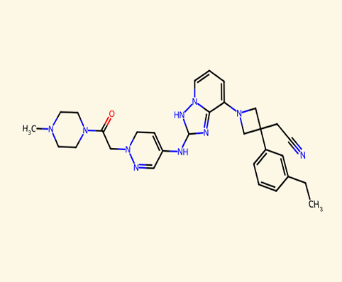 CCc1cccc(C2(CC#N)CN(C3=CC=CN4NC(NC5=CCN(CC(=O)N6CCN(C)CC6)N=C5)N=C34)C2)c1